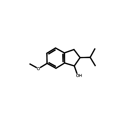 COc1ccc2c(c1)C(O)C(C(C)C)C2